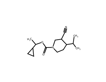 CC(C)C1CCN(C(=O)OC(C)C2CC2)CC1C#N